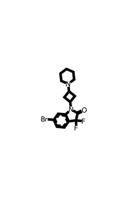 O=C1N(C2CC(N3CCCCC3)C2)c2cc(Br)ccc2C1(F)F